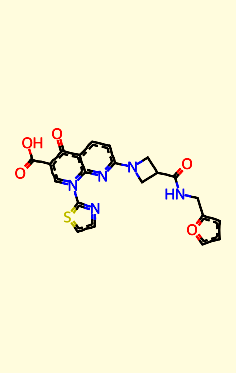 O=C(O)c1cn(-c2nccs2)c2nc(N3CC(C(=O)NCc4ccco4)C3)ccc2c1=O